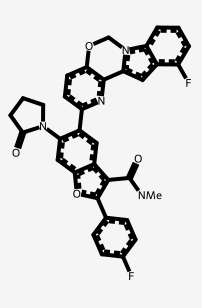 CNC(=O)c1c(-c2ccc(F)cc2)oc2cc(N3CCCC3=O)c(-c3ccc4c(n3)-c3cc5c(F)cccc5n3CO4)cc12